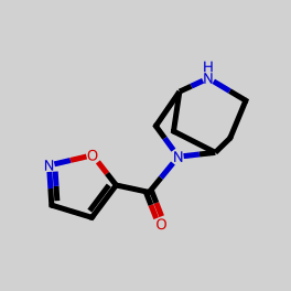 O=C(c1ccno1)N1CC2CC1CCN2